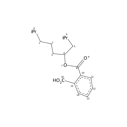 CC(C)CCCC(CC(C)C)OC(=O)c1ccccc1C(=O)O